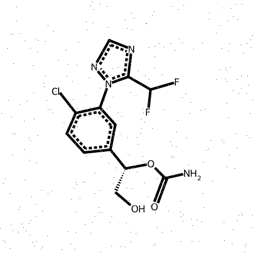 NC(=O)O[C@H](CO)c1ccc(Cl)c(-n2ncnc2C(F)F)c1